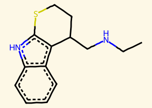 CCNCC1CCSc2[nH]c3ccccc3c21